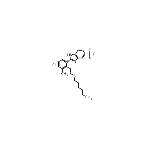 CCCCCCSSCc1c(C)ccc[n+]1-c1nc2cc(C(F)(F)F)ccc2[nH]1.[Cl-]